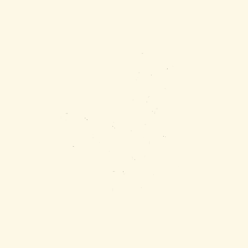 CCC1(CC(C)(C)N(C(=O)OC)c2cc(C(=O)NC)no2)CCN(C(=O)OC(C)(C)C)CC1